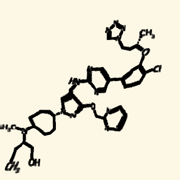 CC[C@H](CO)N(C)[C@H]1CC[C@H](n2cc(Nc3ncc(-c4ccc(Cl)c(O[C@@H](C)Cn5cnnn5)c4)cn3)c(OCc3ncccn3)n2)CC1